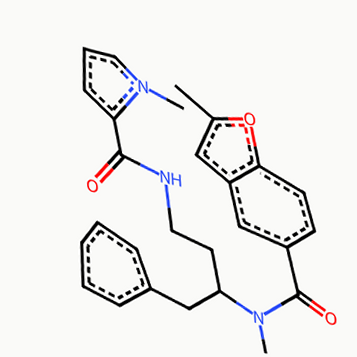 Cc1cc2cc(C(=O)N(C)C(CCNC(=O)c3cccn3C)Cc3ccccc3)ccc2o1